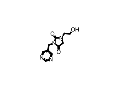 O=C1CN(CCO)C(=O)N1Cc1cncnc1